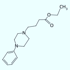 CCOC(=O)CCCN1CCN(c2ccccc2)CC1